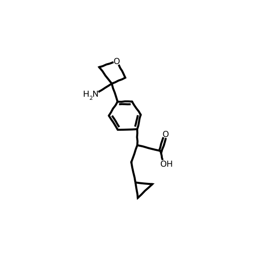 NC1(c2ccc(C(CC3CC3)C(=O)O)cc2)COC1